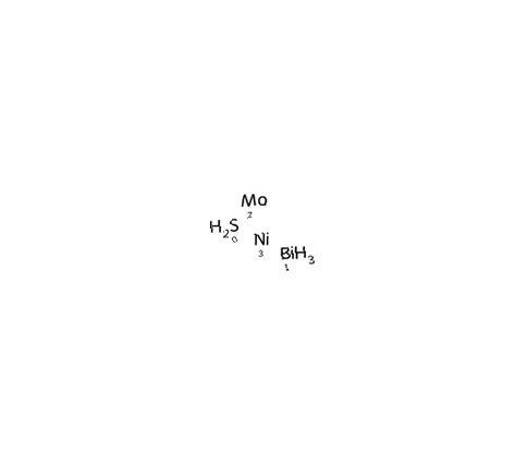 S.[BiH3].[Mo].[Ni]